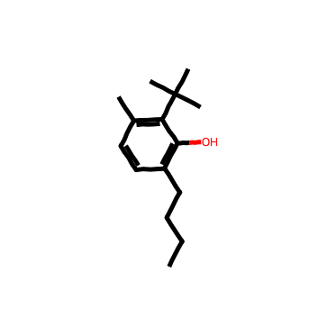 CCCCc1ccc(C)c(C(C)(C)C)c1O